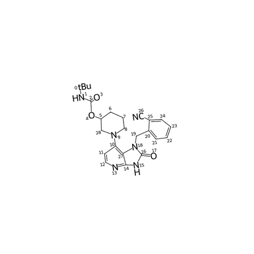 CC(C)(C)NC(=O)OC1CCCN(c2ccnc3[nH]c(=O)n(Cc4ccccc4C#N)c23)C1